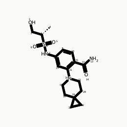 C[C@@H](CO)S(=O)(=O)Nc1ccc(C(N)=O)c(N2CCC3(CC2)CC3)c1